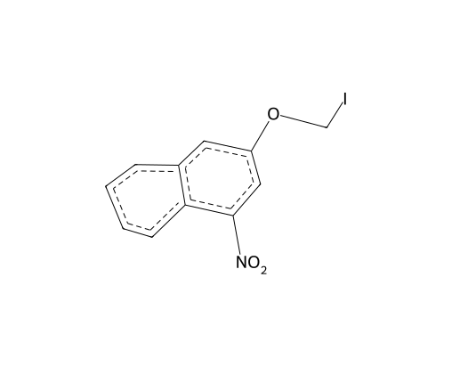 O=[N+]([O-])c1cc(OCI)cc2ccccc12